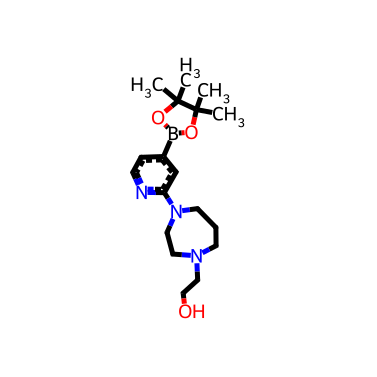 CC1(C)OB(c2ccnc(N3CCCN(CCO)CC3)c2)OC1(C)C